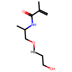 C=C(C)C(=O)NC(C)COBCCO